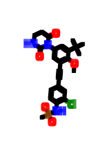 COc1c(C#Cc2ccc(NS(C)(=O)=O)c(Cl)c2)cc(N2C(=O)CCNC2=O)cc1C(C)(C)C